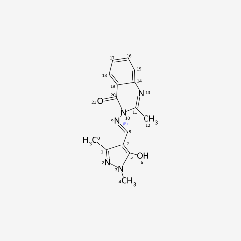 Cc1nn(C)c(O)c1/C=N/n1c(C)nc2ccccc2c1=O